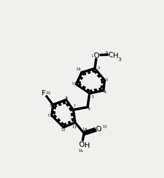 COc1ccc(Cc2cc(F)ccc2C(=O)O)cc1